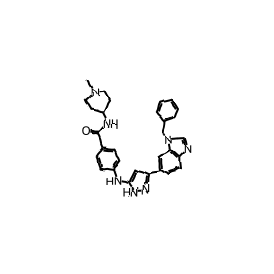 CN1CCC(NC(=O)c2ccc(Nc3cc(-c4ccc5ncn(Cc6ccccc6)c5c4)n[nH]3)cc2)CC1